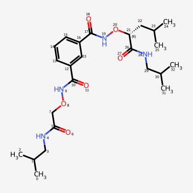 CC(C)CNC(=O)CONC(=O)c1cccc(C(=O)NO[C@H](CC(C)C)C(=O)NCC(C)C)c1